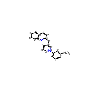 O=[N+]([O-])c1cccc(N2C=C(Cc3ccc4ccccc4n3)C=CC2)c1